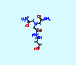 NC(=O)CN(CC(N)=O)CC(=O)NNCCO